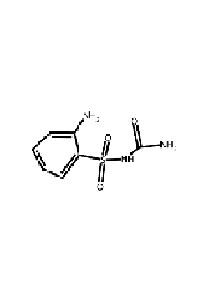 NC(=O)NS(=O)(=O)c1ccccc1N